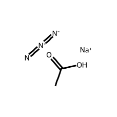 CC(=O)O.[N-]=[N+]=[N-].[Na+]